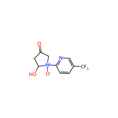 O=C1[CH]C(O)[N+]([O-])(c2ccc(C(F)(F)F)cn2)C1